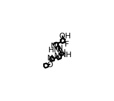 Oc1cc(F)cc(-c2ccnc3[nH]c(-c4n[nH]c5ccc(-c6cncc(OC7CCCCC7)c6)nc45)nc23)c1